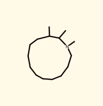 CC1CCCCCCCCCCN(C)C1C